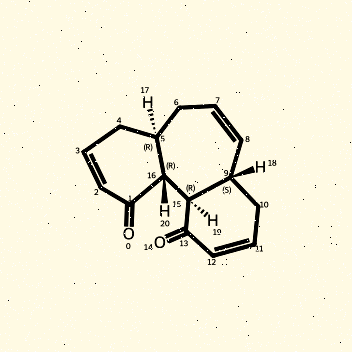 O=C1C=CC[C@H]2CC=C[C@@H]3CC=CC(=O)[C@H]3[C@H]12